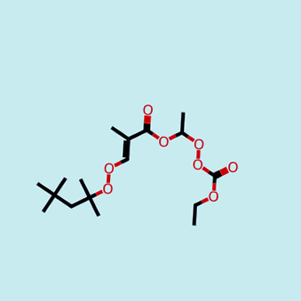 CCOC(=O)OOC(C)OC(=O)C(C)=COOC(C)(C)CC(C)(C)C